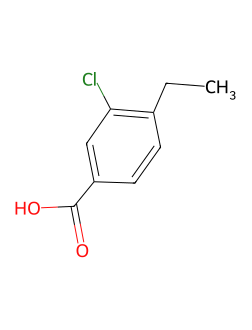 CCc1ccc(C(=O)O)cc1Cl